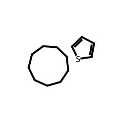 C1CCCCCCCC1.c1ccsc1